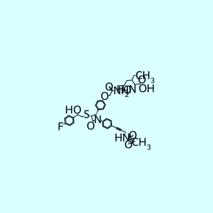 CCC(CC(=O)CNC(=O)COc1ccc([C@@H]2[C@@H](SC[C@H](O)c3ccc(F)cc3)C(=O)N2c2ccc(C#CCNS(C)(=O)=O)cc2)cc1)[C@@H](N)C(=O)O